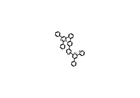 c1ccc(-c2cc(-c3ccccn3)nc(-c3cc(-c4ccc(-c5ccccc5-c5cc(-c6ccccc6)nc(-c6ccccc6)n5)cc4)ccn3)c2)cc1